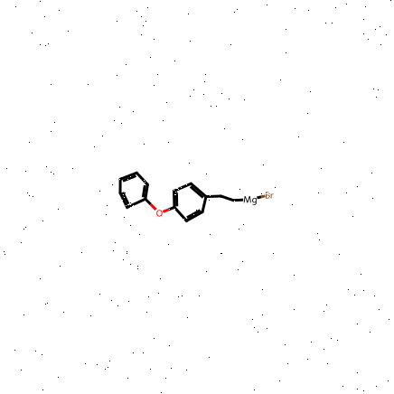 [Br][Mg][CH2]Cc1ccc(Oc2ccccc2)cc1